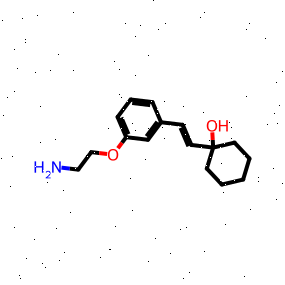 NCCOc1cccc(C=CC2(O)CCCCC2)c1